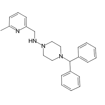 Cc1cccc(CNN2CCN(C(c3ccccc3)c3ccccc3)CC2)n1